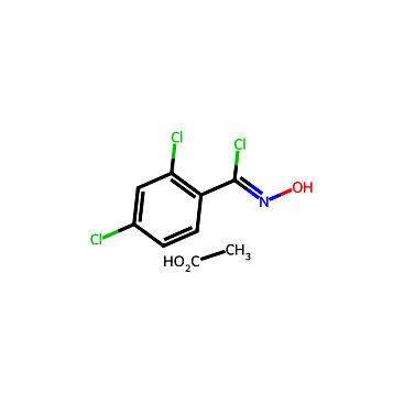 CC(=O)O.ON=C(Cl)c1ccc(Cl)cc1Cl